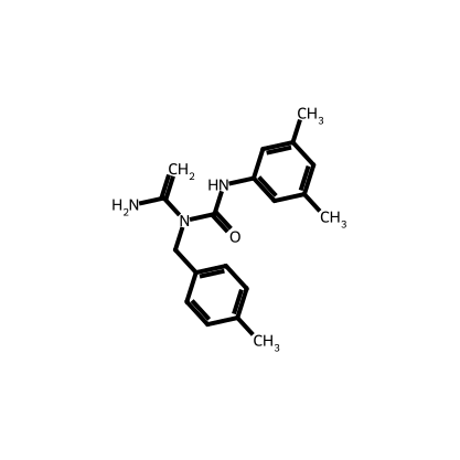 C=C(N)N(Cc1ccc(C)cc1)C(=O)Nc1cc(C)cc(C)c1